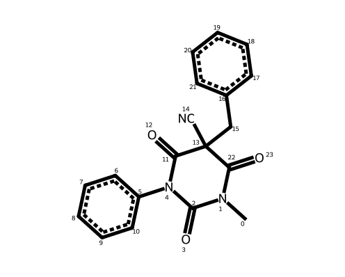 CN1C(=O)N(c2ccccc2)C(=O)C(C#N)(Cc2ccccc2)C1=O